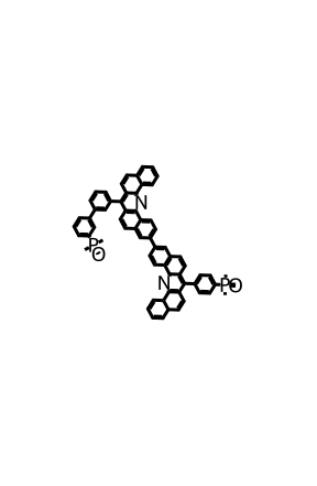 CP(C)(=O)c1ccc(-c2c3c(nc4c2ccc2cc(-c5ccc6c(ccc7c(-c8cccc(-c9cccc(P(C)(C)=O)c9)c8)c8ccc9ccccc9c8nc76)c5)ccc24)C2C=CC=CC2C=C3)cc1